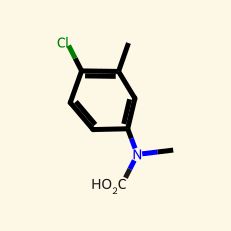 Cc1cc(N(C)C(=O)O)ccc1Cl